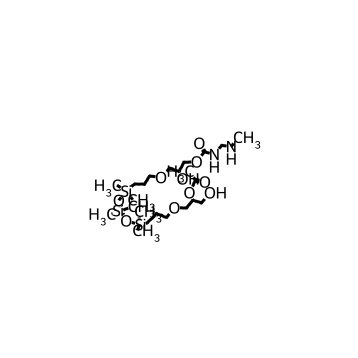 CNCNC(=O)OCC(O)COCCC[Si](C)(C)O[Si](C)(C)O[Si](C)(C)CCCOCC(CO)OC(C)=O